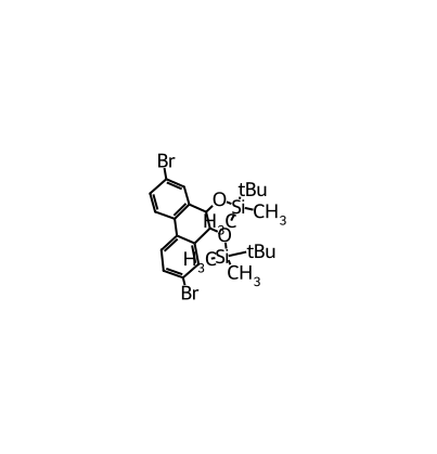 CC(C)(C)[Si](C)(C)OC1c2cc(Br)ccc2-c2ccc(Br)cc2C1O[Si](C)(C)C(C)(C)C